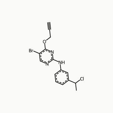 C#CCOc1nc(Nc2cccc(C(C)Cl)c2)ncc1Br